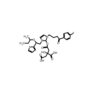 CCC(C)OC(CN1C=CN(CCCC(=O)c2ccc(F)cc2)C1OC(=O)CC(O)(CC(=O)O)C(=O)O)c1cccs1